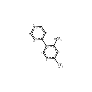 FC(F)(F)c1ccc(-c2ccncc2)c(C(F)(F)F)c1